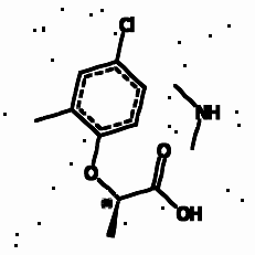 CNC.Cc1cc(Cl)ccc1O[C@H](C)C(=O)O